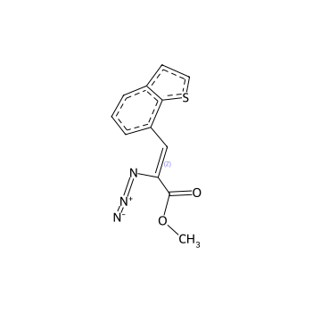 COC(=O)/C(=C/c1cccc2ccsc12)N=[N+]=[N-]